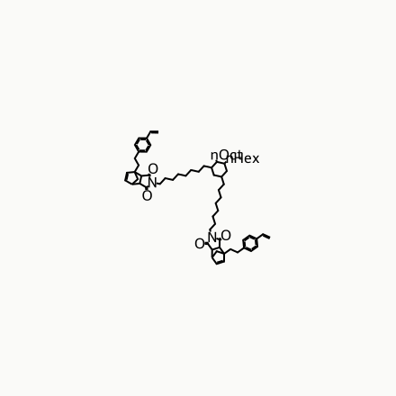 C=Cc1ccc(CCC23C=CC(C2)C2C(=O)N(CCCCCCCCC4CC(CCCCCC)C(CCCCCCCC)C(CCCCCCCCN5C(=O)C6C7C=CC(CCc8ccc(C=C)cc8)(C7)C6C5=O)C4)C(=O)C23)cc1